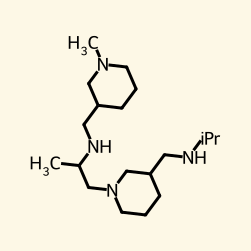 CC(C)NCC1CCCN(CC(C)NCC2CCCN(C)C2)C1